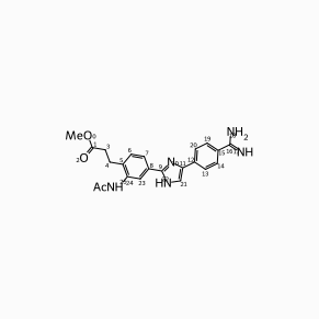 COC(=O)CCc1ccc(-c2nc(-c3ccc(C(=N)N)cc3)c[nH]2)cc1NC(C)=O